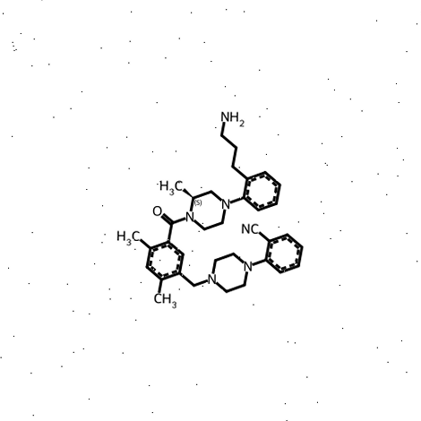 Cc1cc(C)c(C(=O)N2CCN(c3ccccc3CCCN)C[C@@H]2C)cc1CN1CCN(c2ccccc2C#N)CC1